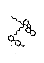 Brc1ccc(-c2ccccc2)cc1.CCCCCCC1(CCCCCC)C=CC=C2C=c3c(ccc4ccccc34)=C21